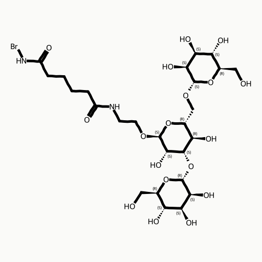 O=C(CCCCC(=O)NCCO[C@H]1O[C@H](CO[C@H]2O[C@H](CO)[C@@H](O)[C@H](O)[C@@H]2O)[C@@H](O)[C@H](O[C@H]2O[C@H](CO)[C@@H](O)[C@H](O)[C@@H]2O)[C@@H]1O)NBr